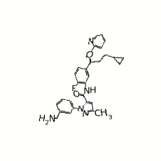 Cc1cc(C(=O)Nc2cc(C(CCC3CC3)Oc3ccccn3)ccc2F)n(-c2cccc(CN)c2)n1